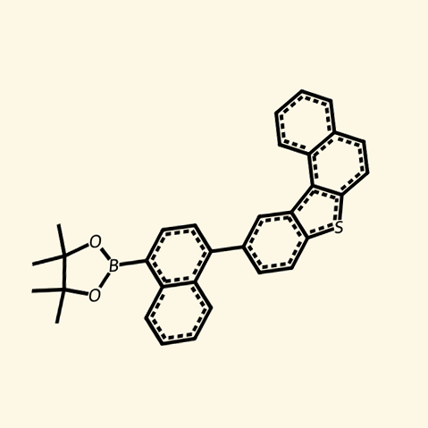 CC1(C)OB(c2ccc(-c3ccc4sc5ccc6ccccc6c5c4c3)c3ccccc23)OC1(C)C